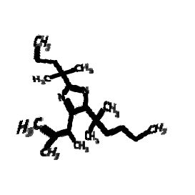 CCCCC(C)(C)C1N=C(C(C)(C)CCC)N=C1C(C)C(C)C